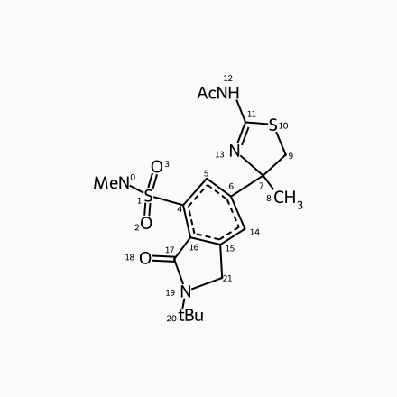 CNS(=O)(=O)c1cc(C2(C)CSC(NC(C)=O)=N2)cc2c1C(=O)N(C(C)(C)C)C2